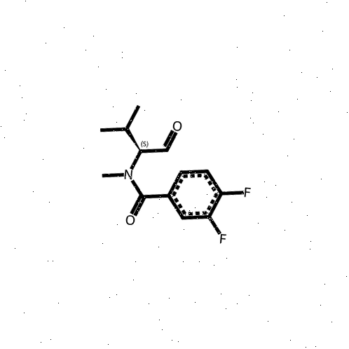 CC(C)[C@@H](C=O)N(C)C(=O)c1ccc(F)c(F)c1